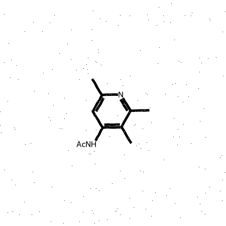 CC(=O)Nc1cc(C)nc(C)c1C